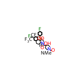 CNC(=O)N1CCC(O)(C(=O)N2CC[C@]3(S(=O)(=O)c4ccc(F)cc4)c4ccc(C(F)(C(F)(F)F)C(F)(F)F)cc4CC[C@H]23)CC1